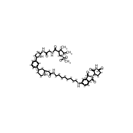 CC1C(C(=O)NCC(=O)NC2NC(c3cccc(C4CCNC(CC(=O)NCCCCCCCCNc5ccc6c(c5)C(=O)N(C5CCC(=O)NC5=O)C6=O)C4)c3)CS2)CN(S(C)(=O)=O)C1C